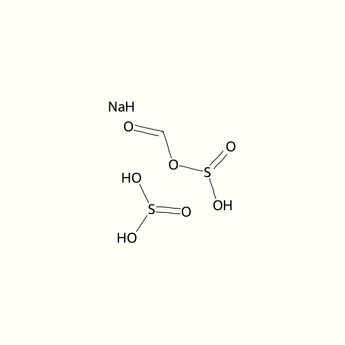 O=COS(=O)O.O=S(O)O.[NaH]